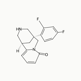 O=c1cccc2n1C[C@]1(c3ccc(F)cc3F)CNC[C@H]2C1